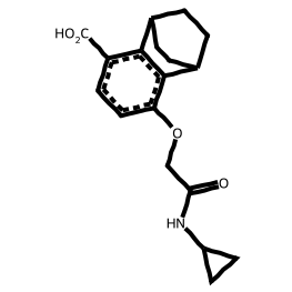 O=C(COc1ccc(C(=O)O)c2c1C1CCC2CC1)NC1CC1